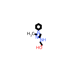 Cc1nc(NCCO)cn1-c1ccccc1